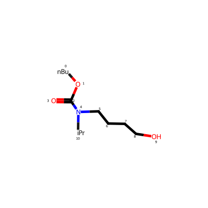 CCCCOC(=O)N(CCCCO)C(C)C